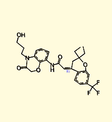 CCC1(CC)C/C(=C\C(=O)Nc2cccc3c2OCC(=O)N3CCCO)c2ccc(C(F)(F)F)cc2O1